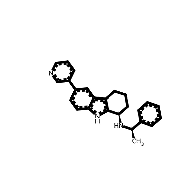 C[C@@H](N[C@@H]1CCCc2c1[nH]c1ccc(-c3cccnc3)cc21)c1ccccc1